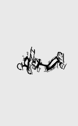 Clc1ccc(Nc2nc(-c3ccc(Cl)c(Cl)c3)cs2)cc1Cl